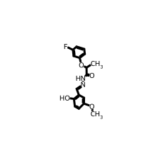 COc1ccc(O)c(C=NNC(=O)C(C)Oc2cccc(F)c2)c1